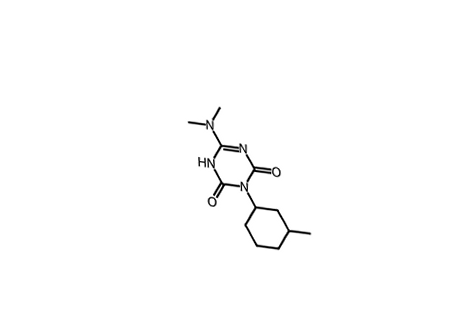 CC1CCCC(n2c(=O)nc(N(C)C)[nH]c2=O)C1